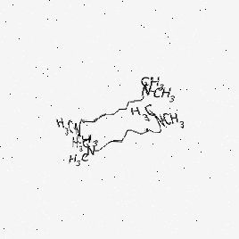 CN(C)CCCCCCCCN(C)C.CN(C)CCCCCCCN(C)C